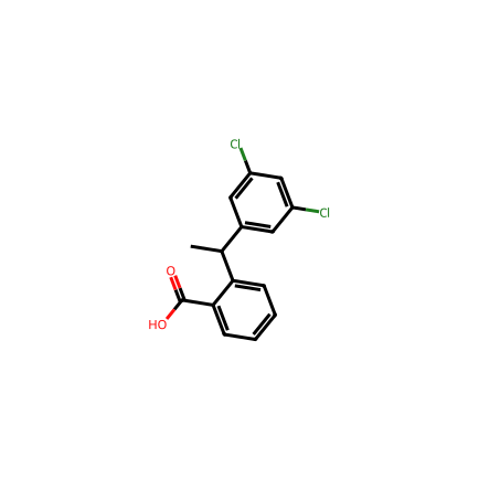 CC(c1cc(Cl)cc(Cl)c1)c1ccccc1C(=O)O